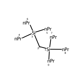 CCC[Si]([C][Si](CCC)(CCC)CCC)(CCC)CCC